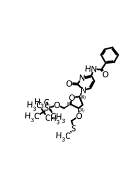 CSCO[C@@H]1C[C@H](n2ccc(NC(=O)c3ccccc3)nc2=O)O[C@@H]1CO[Si](C)(C)C(C)(C)C